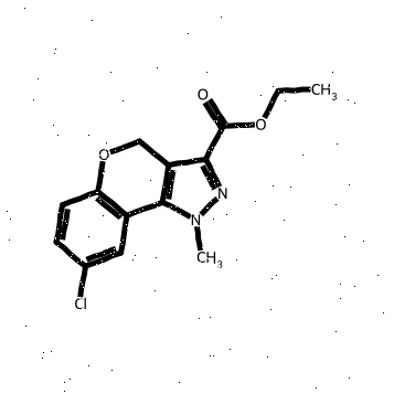 CCOC(=O)c1nn(C)c2c1COc1ccc(Cl)cc1-2